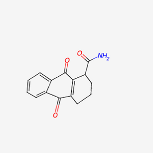 NC(=O)C1CCCC2=C1C(=O)c1ccccc1C2=O